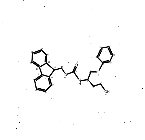 O=C(N[C@H](CCO)CSc1ccccc1)OCC1c2ccccc2-c2ccccc21